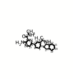 CNC(=O)c1nc(-c2cccc([C@H](C)N[C@H]3CCc4ccccc43)c2)cnc1N